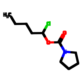 CCCCC(Cl)OC(=O)N1CCCC1